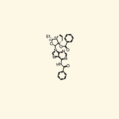 C=CC[C@]1(OC(=O)c2ccccc2)C(n2cnc3c(NC(=O)c4ccccc4)ncnc32)O[C@H](CC)[C@H]1C